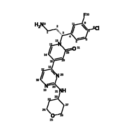 NCC[C@H](c1ccc(Cl)c(F)c1)n1ccc(-c2ccnc(NC3CCOCC3)n2)cc1=O